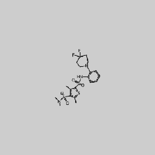 Cc1sc(S(=O)(=O)Nc2ccccc2N2CCC(F)(F)CC2)c(C)c1S(=O)(=O)N(C)C